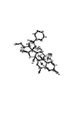 C[C@@H]1C[C@H]2[C@@H]3C[C@H](F)C4=CC(=O)C=C[C@]4(C)[C@@]3(Cl)[C@@H](O)C[C@]2(C)[C@@]1(OC(=O)C1CCCCC1)C(=O)OCF